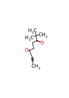 CC#CC(=O)CCC(=O)C(C)(C)C